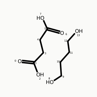 O=C(O)CCC(=O)O.OCCCCO